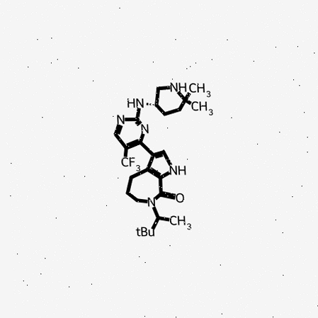 CC(N1CCCc2c(-c3nc(N[C@H]4CCC(C)(C)NC4)ncc3C(F)(F)F)c[nH]c2C1=O)C(C)(C)C